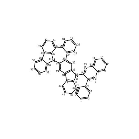 c1cccc(-c2nc3ccccc3nc2-n2c3c(c4cc5c(cc42)-c2ccccc2-c2cccc4c6ccccc6n-5c24)C=CCC3)c#1